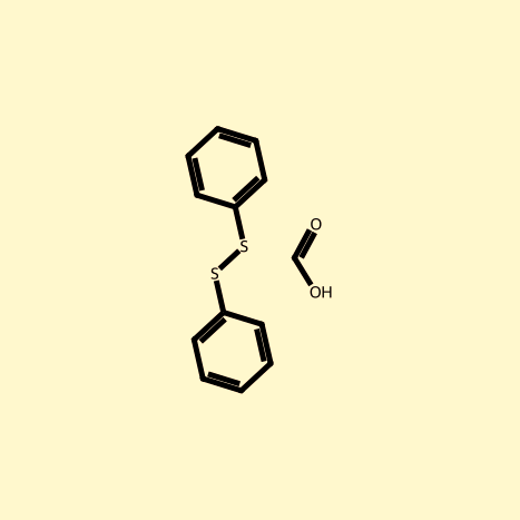 O=CO.c1ccc(SSc2ccccc2)cc1